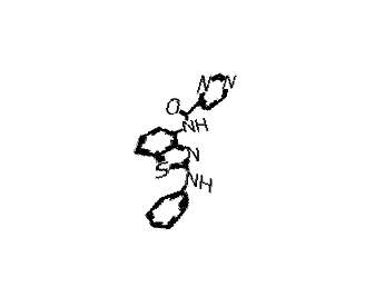 O=C(Nc1cccc2sc(Nc3ccccc3)nc12)c1ccncn1